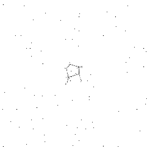 CC1N[CH]CN1C